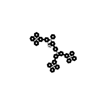 c1ccc(N(c2ccc(-c3ccc([Si](c4ccccc4)(c4ccccc4)c4ccccc4)cc3)cc2)c2ccc(-c3ccc(-n4c5ccc(-c6ccc([Si](c7ccccc7)(c7ccccc7)c7ccccc7)cc6)cc5c5cc(-c6ccc([Si](c7ccccc7)(c7ccccc7)c7ccccc7)cc6)ccc54)cc3)c3nsnc23)cc1